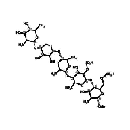 CO[C@H]1OC(COS(=O)(=O)O)[C@@H](O[C@@H]2OC(C(=O)O)[C@@H](O[C@H]3OC(C)[C@@H](O[C@@H]4OC[C@@H](O[C@H]5OC(C)[C@@H](O)[C@H](O)C5N)[C@H](O)C4O)CC3N)[C@H](O)C2OS(=O)(=O)O)[C@H](O)C1N